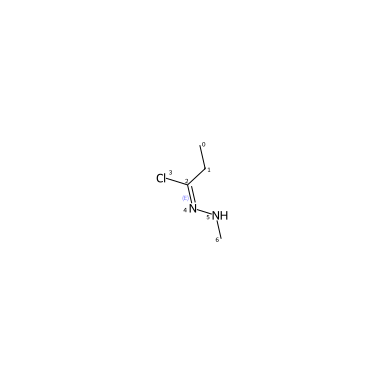 CC/C(Cl)=N\NC